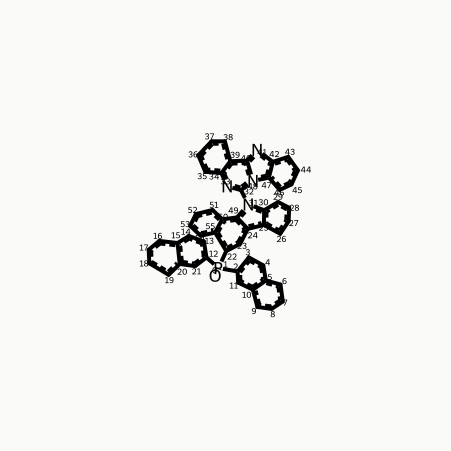 O=P(c1ccc2ccccc2c1)(c1ccc2ccccc2c1)c1cc2c3ccccc3n(-c3nc4ccccc4c4nc5ccccc5n34)c2c2ccccc12